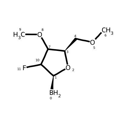 B[C@@H]1O[C@H](COC)C(OC)C1F